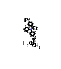 CC/C(=C(/c1cc[c]cc1)c1ccc(OCCN(C)C)cc1)c1ccc(C(C)C)cc1